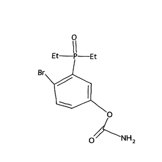 CCP(=O)(CC)c1cc(OC(N)=O)ccc1Br